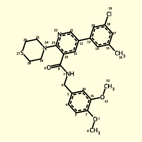 COc1ccc(CNC(=O)c2cc(-c3cc(C)cc(Cl)c3)cnc2N2CCSCC2)cc1OC